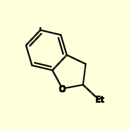 CCC1Cc2c[c]ccc2O1